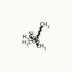 CCCCCCCC[Si](OCC)(OCC)OCC.[Si]